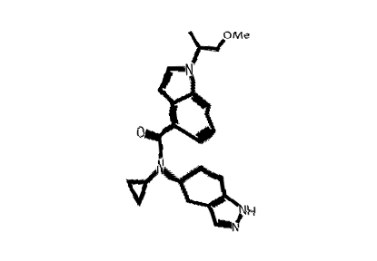 COCC(C)n1ccc2c(C(=O)N(C3CC3)C3CCc4[nH]ncc4C3)cccc21